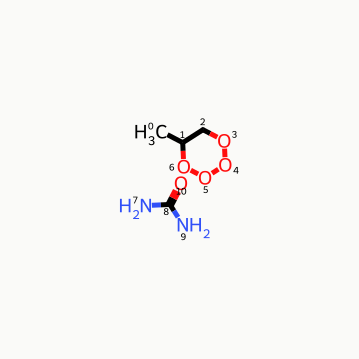 CC1COOOO1.NC(N)=O